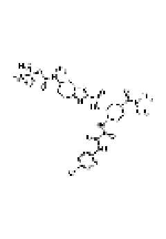 CN(C)C(=O)[C@H]1CC[C@H](NC(=O)C(=O)Nc2ccc(Cl)cn2)[C@H](NC(=O)c2nc3c(s2)CC(N(C)C(=O)OC(C)(C)C)CC3)C1